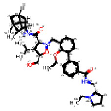 CCOc1c(CN2O[C@@H](CO)[C@H](C(C)C)[C@H]2C(=O)N[C@H]2C[C@H]3C[C@@H]([C@@H]2C)C3(C)C)cccc1-c1cccc(C(=O)NC[C@@H]2CCCN2CC)c1